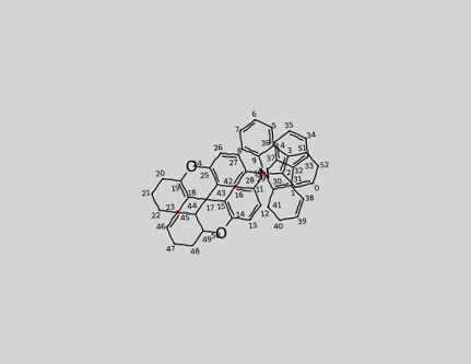 C1=Cc2c(c3ccccc3n2-c2ccc3c(c2)C2(C4=C(CCCC4)Oc4ccc(-n5c6c(c7ccccc75)C=CCC6)cc42)C2C=CCCC2O3)CC1